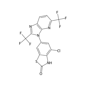 O=c1[nH]c2c(Cl)cc(-n3c(C(F)(F)F)nc4ccc(C(F)(F)F)nc43)cc2s1